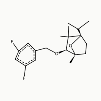 CC(C)[C@@]12CC[C@@](C)(O1)[C@@H](OCc1cc(F)cc(F)c1)C2(C)C